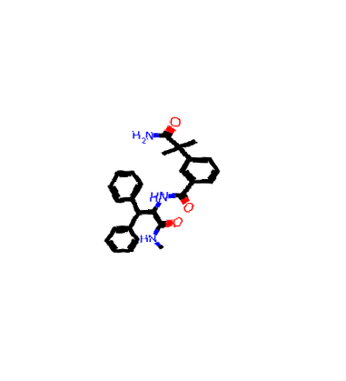 CNC(=O)C(NC(=O)c1cccc(C(C)(C)C(N)=O)c1)C(c1ccccc1)c1ccccc1